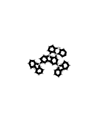 c1ccc2c(c1)Oc1cccc3c1B2c1cc(-n2c4ccccc4c4ccccc42)cc2c4cc(-n5c6ccccc6c6ccccc65)ccc4n-3c12